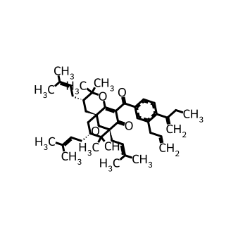 C=CCc1cc(C(=O)C2=C3OC(C)(C)[C@@H](CC=C(C)C)C[C@@]34C[C@@H](CC=C(C)C)C(C)(C)[C@@](CC=C(C)C)(C2=O)C4=O)ccc1C(=C)CC